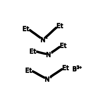 CC[N-]CC.CC[N-]CC.CC[N-]CC.[B+3]